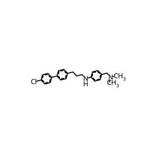 CN(C)Cc1ccc(NCCCc2ccc(-c3ccc(Cl)cc3)cc2)cc1